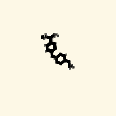 CCC1CCN(Cc2ccc(C(C)C)cc2)CC1